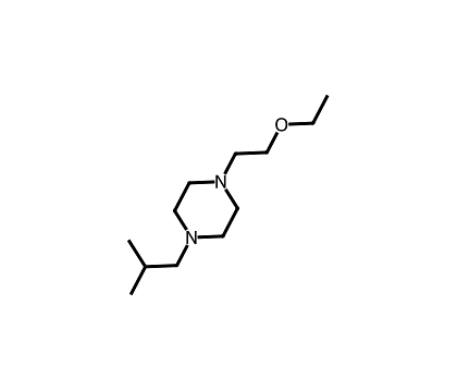 CCOCCN1CCN(CC(C)C)CC1